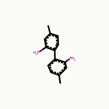 Cc1ccc(-c2ccc(C)cc2P)c(P)c1